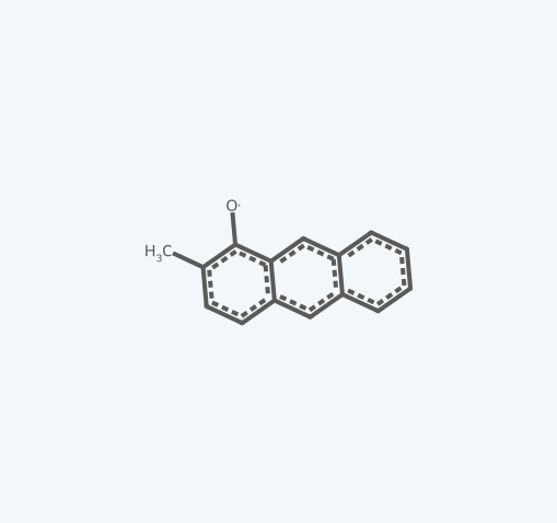 Cc1ccc2cc3ccccc3cc2c1[O]